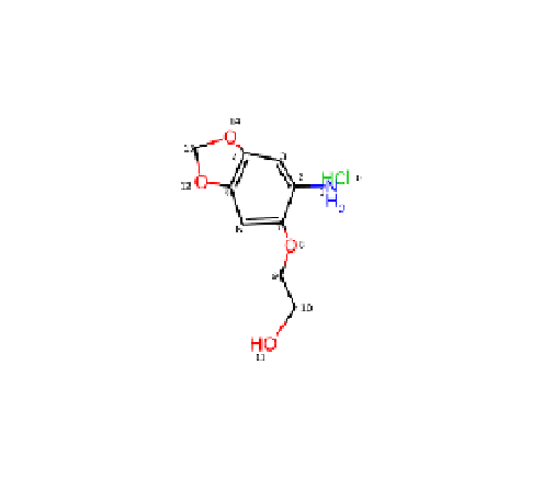 Cl.Nc1cc2c(cc1OCCO)OCO2